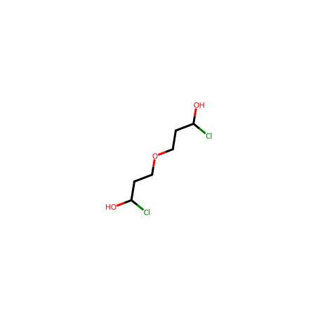 OC(Cl)CCOCCC(O)Cl